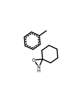 C1CCC2(CC1)NO2.Cc1ccccc1